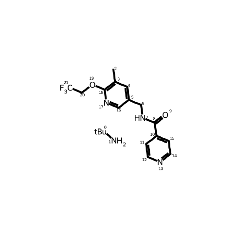 CC(C)(C)N.Cc1cc(CNC(=O)c2ccncc2)cnc1OCC(F)(F)F